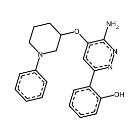 Nc1nnc(-c2ccccc2O)cc1OC1CCCN(c2ccccc2)C1